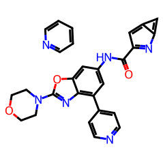 O=C(Nc1cc(-c2ccncc2)c2nc(N3CCOCC3)oc2c1)c1cc2cc-2n1.c1ccncc1